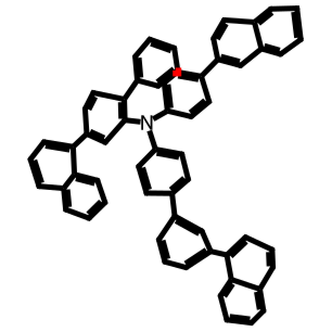 c1ccc(-c2ccc(-c3cccc4ccccc34)cc2N(c2ccc(-c3cccc(-c4cccc5ccccc45)c3)cc2)c2ccc(-c3ccc4ccccc4c3)cc2)cc1